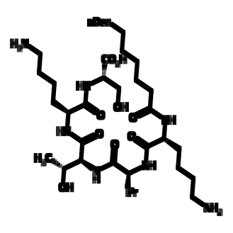 CCCCCCCCCCCCCCCC(=O)N[C@@H](CCCCN)C(=O)N[C@H](C(=O)N[C@H](C(=O)N[C@@H](CCCCN)C(=O)N[C@@H](CO)C(=O)O)[C@@H](C)O)C(C)C